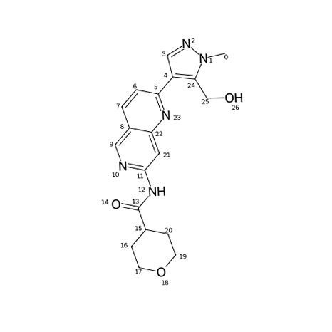 Cn1ncc(-c2ccc3cnc(NC(=O)C4CCOCC4)cc3n2)c1CO